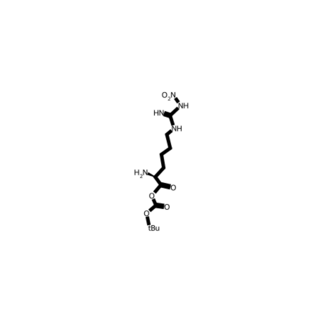 CC(C)(C)OC(=O)OC(=O)[C@@H](N)CCCCNC(=N)N[N+](=O)[O-]